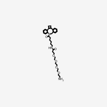 NCCOCCOCCOCCOCCC(=O)NCCCCCC(=O)N1Cc2ccccc2C2=C(CC2)c2ccccc21